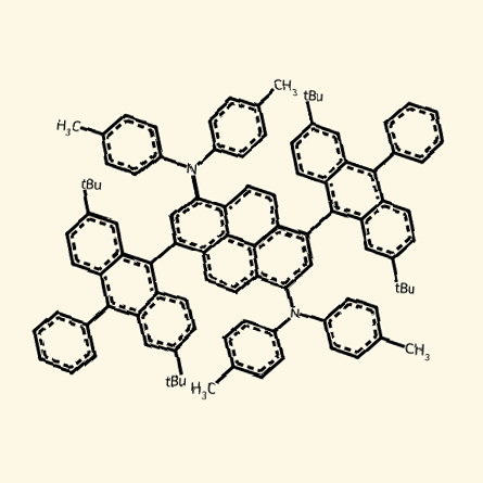 Cc1ccc(N(c2ccc(C)cc2)c2cc(-c3c4ccc(C(C)(C)C)cc4c(-c4ccccc4)c4ccc(C(C)(C)C)cc34)c3ccc4c(N(c5ccc(C)cc5)c5ccc(C)cc5)cc(-c5c6ccc(C(C)(C)C)cc6c(-c6ccccc6)c6ccc(C(C)(C)C)cc56)c5ccc2c3c54)cc1